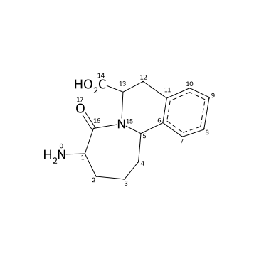 NC1CCCC2c3ccccc3CC(C(=O)O)N2C1=O